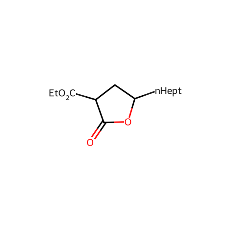 CCCCCCCC1CC(C(=O)OCC)C(=O)O1